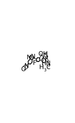 CCNCc1csc(C(O)c2cc(-c3ncnc4cc(N5CCOCC5)ccc34)c(F)cc2Cl)n1